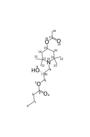 CCCC(=O)OC[C@H](O)CN1C(C)(C)CC(OC(C)=O)CC1(C)C